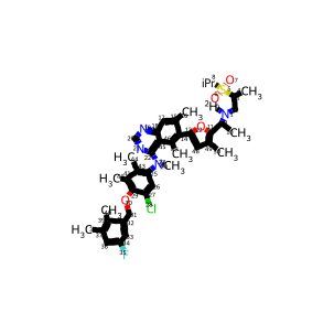 [2H]N(CC(C)S(=O)(=O)C(C)C)C(C)c1oc(-c2c(C)cc3ncnc(N(C)c4cc(Cl)c(OCc5cc(F)cc(C)c5C)c(C)c4C)c3c2C)cc1C